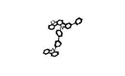 c1ccc(-c2ccc3c(c2)c2ccc4oc5ccccc5c4c2n3-c2ccc(-c3ccc(-n4c5ccccc5c5ccccc54)cc3)cc2)cc1